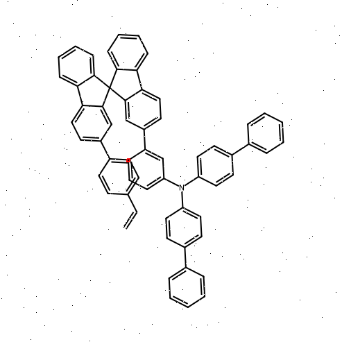 C=Cc1ccc(-c2ccc3c(c2)C2(c4ccccc4-3)c3ccccc3-c3ccc(-c4cccc(N(c5ccc(-c6ccccc6)cc5)c5ccc(-c6ccccc6)cc5)c4)cc32)cc1